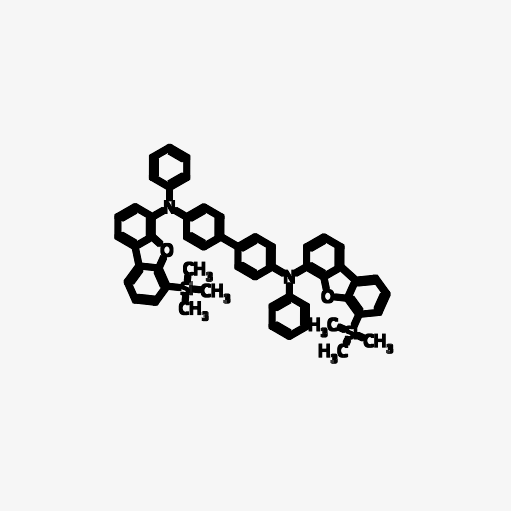 C[Si](C)(C)c1cccc2c1oc1c(N(c3ccccc3)c3ccc(-c4ccc(N(c5ccccc5)c5cccc6c5oc5c([Si](C)(C)C)cccc56)cc4)cc3)cccc12